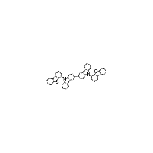 c1ccc2c(c1)oc1c(-n3c4ccccc4c4cc(-c5ccc6c(c5)c5ccccc5n6-c5cccc6c5sc5ccccc56)ccc43)cccc12